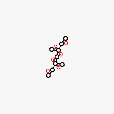 c1ccc2c(c1)oc1cc(-c3cc4oc5cc6c(cc5c4c4c3oc3ccccc34)oc3cc(-c4ccc5c(c4)oc4ccccc45)c4oc5ccccc5c4c36)ccc12